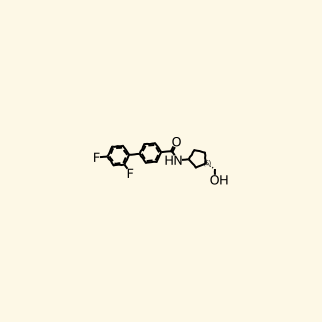 O=C(NC1CC[C@H](CO)C1)c1ccc(-c2ccc(F)cc2F)cc1